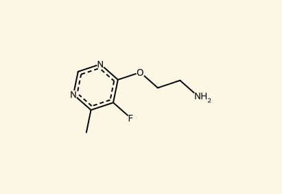 Cc1ncnc(OCCN)c1F